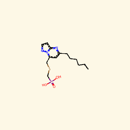 CCCCCCc1cc(CSCP(=O)(O)O)n2nccc2n1